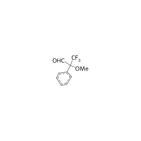 COC(C=O)(c1ccccc1)C(F)(F)F